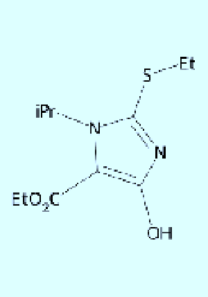 CCOC(=O)c1c(O)nc(SCC)n1C(C)C